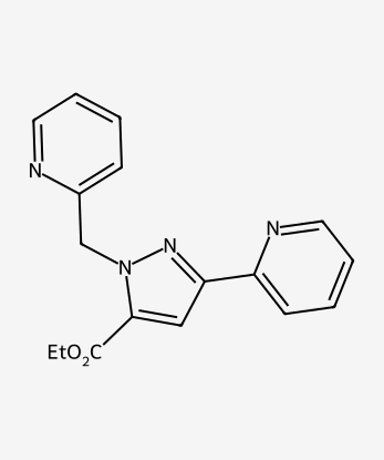 CCOC(=O)c1cc(-c2ccccn2)nn1Cc1ccccn1